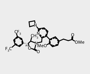 COC(=O)CCc1ccc(OC)c(-c2ccc(N3CCC3)nc2CN2C(=O)O[C@H](c3cc(C(F)(F)F)cc(C(F)(F)F)c3)C2C)c1